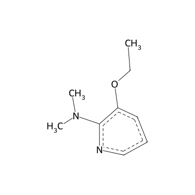 CCOc1cccnc1N(C)C